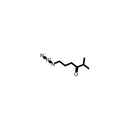 CC(C)C(=O)CCCN=[N+]=[N-]